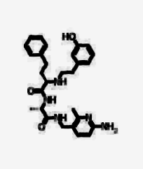 Cc1nc(N)ccc1CNC(=O)[C@H](C)NC(=O)[C@@H](CCc1ccccc1)NCCc1cccc(O)c1